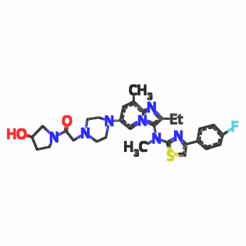 CCc1nc2c(C)cc(N3CCN(CC(=O)N4CC[C@@H](O)C4)CC3)cn2c1N(C)c1nc(-c2ccc(F)cc2)cs1